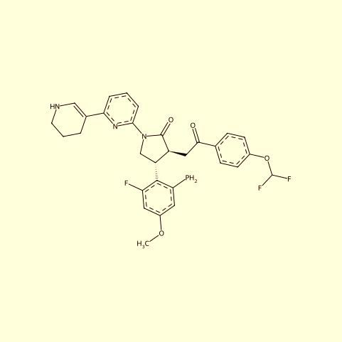 COc1cc(F)c([C@@H]2CN(c3cccc(C4=CNCCC4)n3)C(=O)[C@H]2CC(=O)c2ccc(OC(F)F)cc2)c(P)c1